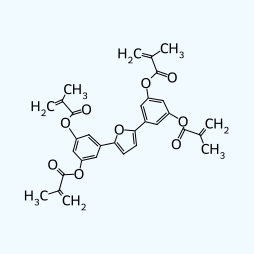 C=C(C)C(=O)Oc1cc(OC(=O)C(=C)C)cc(-c2ccc(-c3cc(OC(=O)C(=C)C)cc(OC(=O)C(=C)C)c3)o2)c1